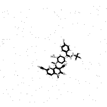 CN(c1c(C#N)c(=O)n(C)c2ccc(C#N)nc12)[C@@H]1CC[C@@H](/C(=N/OC(C)(C)C)c2ccc(F)cc2)C[C@H]1O